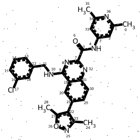 Cc1cc(NC(=O)c2nc(NCc3cccc(Cl)c3)c3cc(-c4c(C)noc4C)ccc3n2)cc(C)n1